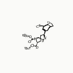 CC(C)(C)OC(=O)[C@@H]1C[C@]2(CC(c3cc(Cl)c4c(c3)CCO4)=NO2)CN1C(=O)OC(C)(C)C